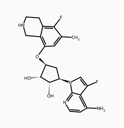 Cc1cc(O[C@H]2C[C@@H](n3cc(F)c4c(N)ccnc43)[C@H](O)[C@@H]2O)c2c(c1F)CCNC2